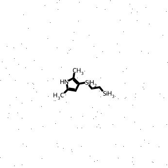 Cc1cc([SiH2]CC[SiH3])c(C)[nH]1